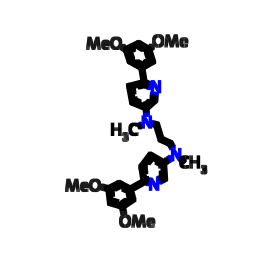 COc1cc(OC)cc(-c2ccc(N(C)CCCN(C)c3ccc(-c4cc(OC)cc(OC)c4)nc3)cn2)c1